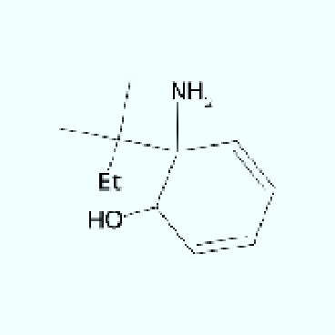 CCC(C)(C)C1(N)C=CC=CC1O